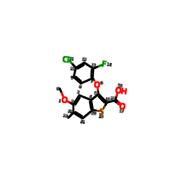 COc1cc2c(Oc3ccc(Cl)cc3F)c(C(=O)O)sc2cc1C